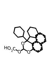 O=C(O)OC1Oc2ccc3ccccc3c2C(C2CCCCC2)(C2CCCCC2)O1